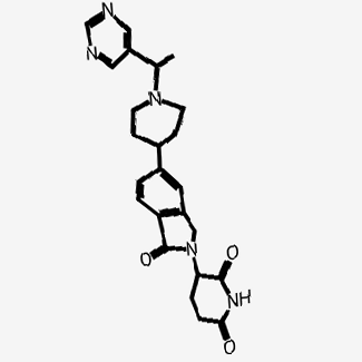 CC(c1cncnc1)N1CCC(c2ccc3c(c2)CN(C2CCC(=O)NC2=O)C3=O)CC1